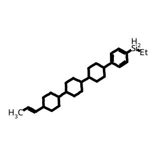 CC=CC1CCC(C2CCC(C3CCC(c4ccc([SiH2]CC)cc4)CC3)CC2)CC1